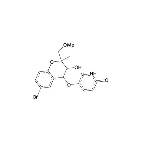 COCC1(C)Oc2ccc(Br)cc2C(Oc2ccc(=O)[nH]n2)C1O